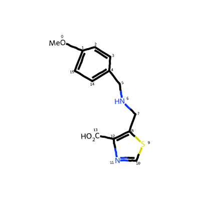 COc1ccc(CNCc2scnc2C(=O)O)cc1